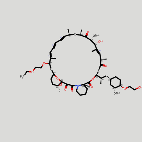 CO[C@@H]1C[C@H](C[C@@H](C)[C@@H]2CC(=O)[C@H](C)/C=C(\C)[C@@H](O)[C@@H](OC)C(=O)[C@H](C)C[C@H](C)/C=C/C=C/C=C(\C)[C@H](OCCOCC(F)(F)F)C[C@@H]3CC[C@@H](C)[C@@](O)(O3)C(=O)C(=O)N3CCCC[C@H]3C(=O)O2)CC[C@H]1OCCO